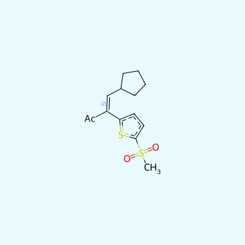 CC(=O)/C(=C/C1CCCC1)c1ccc(S(C)(=O)=O)s1